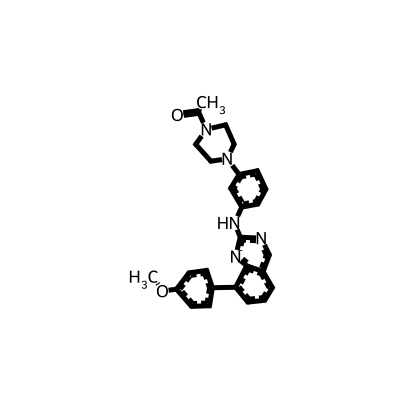 COc1ccc(-c2cccc3cnc(Nc4cccc(N5CCN(C(C)=O)CC5)c4)nc23)cc1